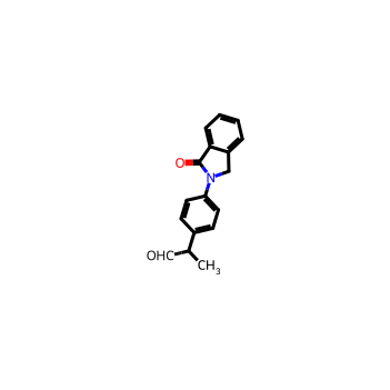 CC(C=O)c1ccc(N2Cc3ccccc3C2=O)cc1